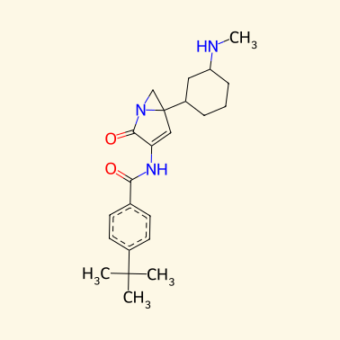 CNC1CCCC(C23C=C(NC(=O)c4ccc(C(C)(C)C)cc4)C(=O)N2C3)C1